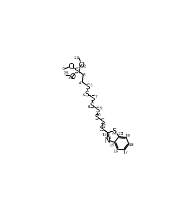 CO[Si](CCSSSSSSSSc1nc2ccccc2s1)(OC)OC